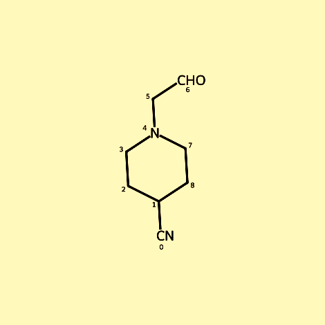 N#CC1CCN(CC=O)CC1